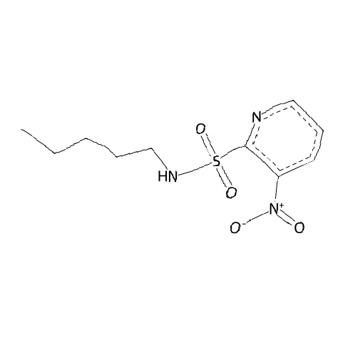 CCCCCNS(=O)(=O)c1ncccc1[N+](=O)[O-]